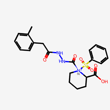 Cc1ccccc1CC(=O)NNC(=O)[N@+]1(S(=O)(=O)c2ccccc2)CCCCC1C(=O)O